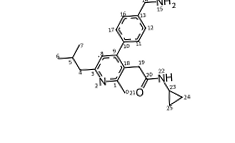 Cc1nc(CC(C)C)[c]c(-c2ccc(CN)cc2)c1CC(=O)NC1CC1